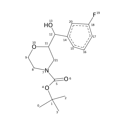 CC(C)(C)OC(=O)N1CCOC(C(O)c2cccc(F)c2)C1